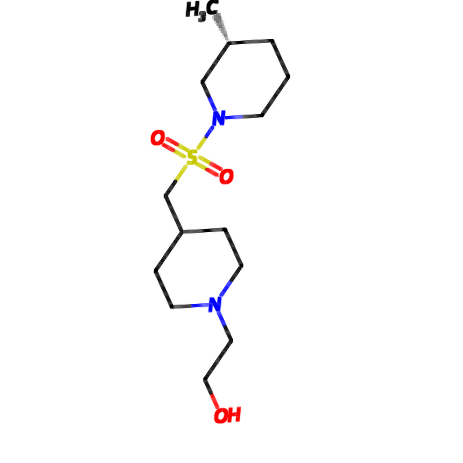 C[C@@H]1CCCN(S(=O)(=O)CC2CCN(CCO)CC2)C1